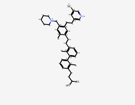 CCCC(CC)CCc1cccc(-c2cccc(CCc3cc(CCc4cncc(C#N)c4)c(CN4CCCCC4)cc3C)c2C)c1C